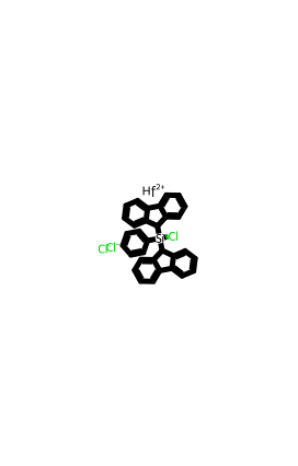 Cl[Si](c1ccccc1)(C1c2ccccc2-c2ccccc21)C1c2ccccc2-c2ccccc21.[Cl-].[Cl-].[Hf+2]